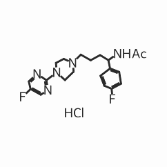 CC(=O)NC(CCCN1CCN(c2ncc(F)cn2)CC1)c1ccc(F)cc1.Cl